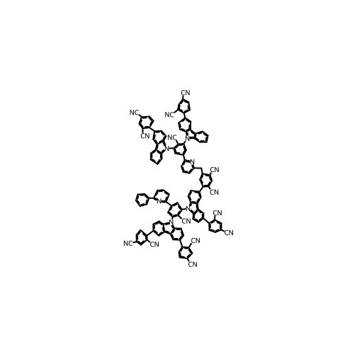 N#Cc1ccc(-c2ccc3c(c2)c2ccccc2n3-c2cc(-c3cccc(Cc4cc(-c5ccc6c(c5)c5cc(-c7ccc(C#N)cc7C#N)ccc5n6-c5cc(-c6cccc(-c7ccccc7)n6)cc(-n6c7ccc(-c8ccc(C#N)cc8C#N)cc7c7cc(-c8ccc(C#N)cc8C#N)ccc76)c5C#N)c(C#N)cc4C#N)n3)cc(-n3c4ccccc4c4cc(-c5ccc(C#N)cc5C#N)ccc43)c2C#N)c(C#N)c1